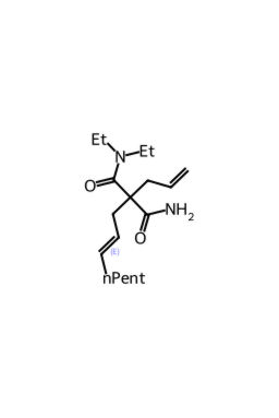 C=CCC(C/C=C/CCCCC)(C(N)=O)C(=O)N(CC)CC